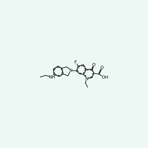 CCNc1ccc2c(c1)CN(c1cc3c(cc1F)c(=O)c(C(=O)O)cn3CC)C2